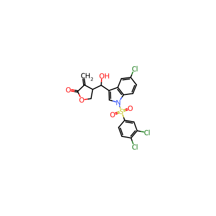 C=C1C(=O)OCC1C(O)c1cn(S(=O)(=O)c2ccc(Cl)c(Cl)c2)c2ccc(Cl)cc12